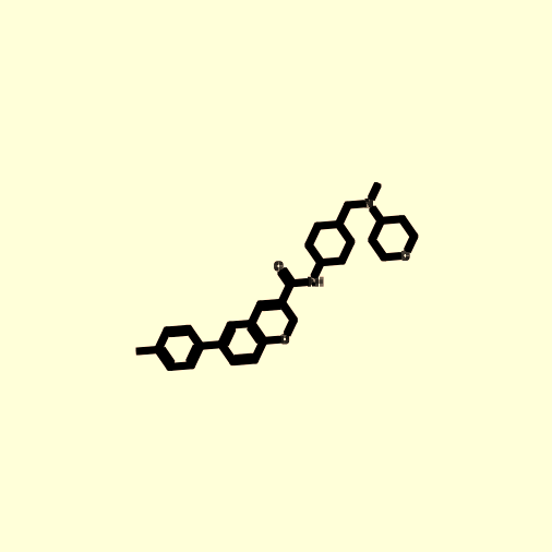 Cc1ccc(-c2ccc3c(c2)C=C(C(=O)NC2CCC(CN(C)C4CCOCC4)CC2)CO3)cc1